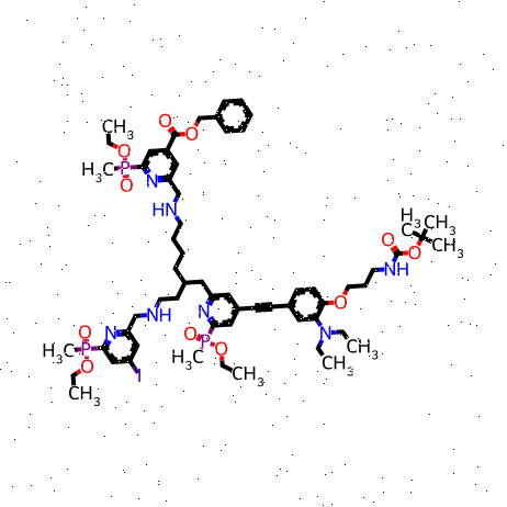 CCOP(C)(=O)c1cc(C(=O)OCc2ccccc2)cc(CNCCCCC(CCNCc2cc(I)cc(P(C)(=O)OCC)n2)Cc2cc(C#Cc3ccc(OCCCNC(=O)OC(C)(C)C)c(N(CC)CC)c3)cc(P(C)(=O)OCC)n2)n1